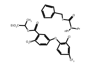 CCCN(CCC)C(=O)SCc1ccccc1.CCOC(=O)C(C)OC(=O)c1cc(Oc2ccc(C(F)(F)F)cc2Cl)ccc1[N+](=O)[O-]